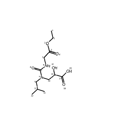 CCOC(=O)CNC(=O)N(CC(C)C)CC(O)C(=O)O